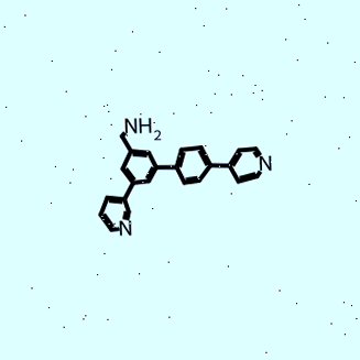 NCc1cc(-c2ccc(-c3ccncc3)cc2)cc(-c2cccnc2)c1